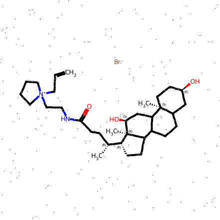 C=CC[N+]1(CCNC(=O)CC[C@@H](C)[C@H]2CCC3C4CCC5C[C@H](O)CC[C@]5(C)C4C[C@H](O)[C@@]32C)CCCC1.[Br-]